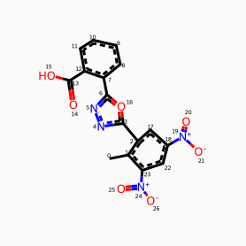 Cc1c(-c2nnc(-c3ccccc3C(=O)O)o2)cc([N+](=O)[O-])cc1[N+](=O)[O-]